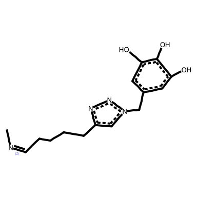 C/N=C\CCCCc1cn(Cc2cc(O)c(O)c(O)c2)nn1